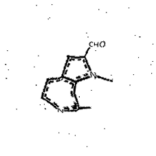 Cc1nccc2cc(C=O)n(C)c12